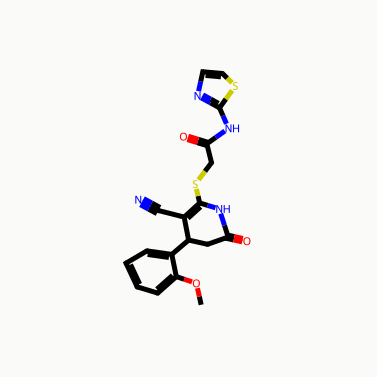 COc1ccccc1C1CC(=O)NC(SCC(=O)Nc2nccs2)=C1C#N